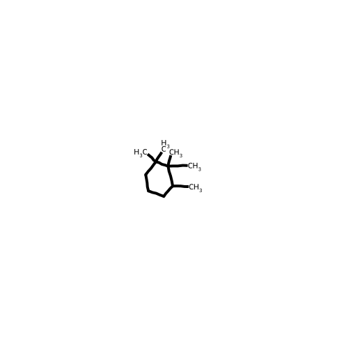 CC1CCCC(C)(C)C1(C)C